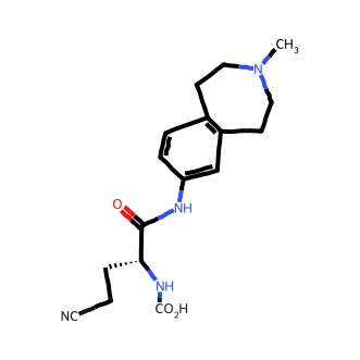 CN1CCc2ccc(NC(=O)[C@@H](CCC#N)NC(=O)O)cc2CC1